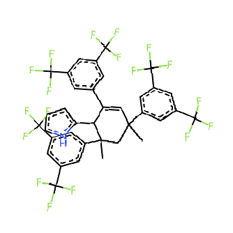 CC1(c2cc(C(F)(F)F)cc(C(F)(F)F)c2)C=C(c2cc(C(F)(F)F)cc(C(F)(F)F)c2)C(c2ccc[nH]2)C(C)(c2cc(C(F)(F)F)cc(C(F)(F)F)c2)C1